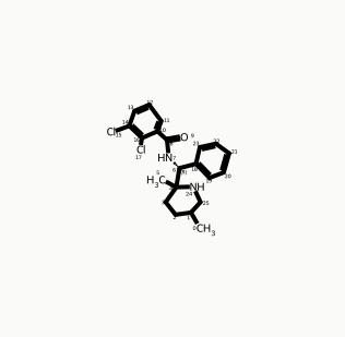 CC1CCC(C)([C@H](NC(=O)c2cccc(Cl)c2Cl)c2ccccc2)NC1